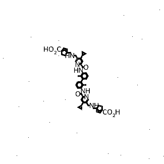 Cc1c(NC(=O)c2cc(C3CC3)c(CNCC34CCC(C(=O)O)(CC3)C4)cn2)cccc1-c1cccc(NC(=O)c2cc(C3CC3)c(CNCC34CCC(C(=O)O)(CC3)C4)cn2)c1C